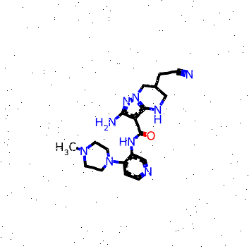 CN1CCN(c2ccncc2NC(=O)c2c(N)nn3c2NCC(CC#N)C3)CC1